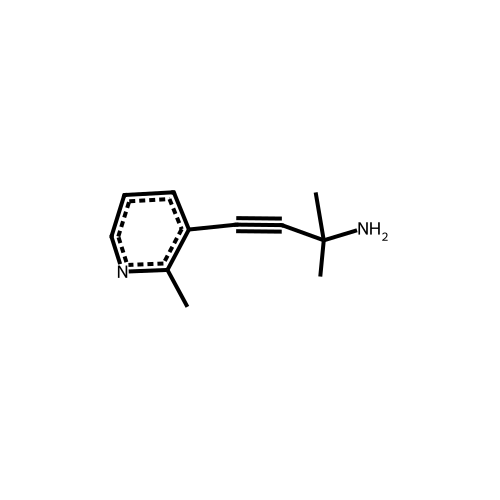 Cc1ncccc1C#CC(C)(C)N